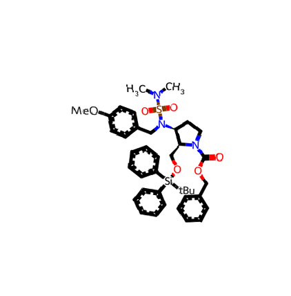 COc1ccc(CN([C@H]2CCN(C(=O)OCc3ccccc3)[C@H]2CO[Si](c2ccccc2)(c2ccccc2)C(C)(C)C)S(=O)(=O)N(C)C)cc1